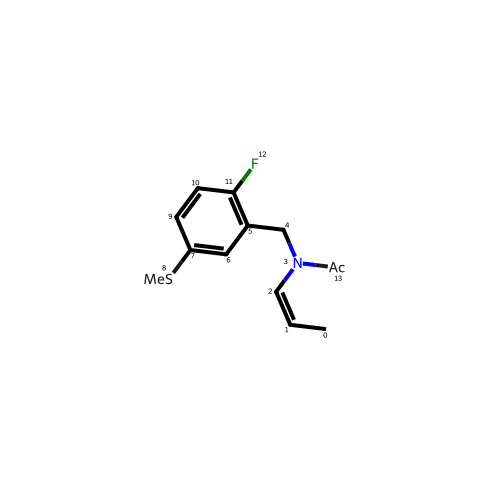 C/C=C\N(Cc1cc(SC)ccc1F)C(C)=O